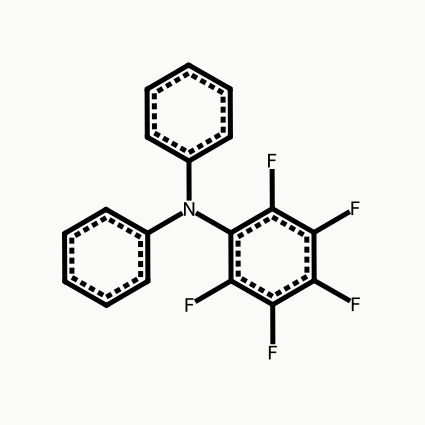 Fc1c(F)c(F)c(N(c2ccccc2)c2ccccc2)c(F)c1F